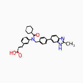 Cc1nc2ccc(-c3ccc(CN(C(=O)C4CCCCC4)c4cccc(C=CC(=O)O)c4)cc3)cc2[nH]1